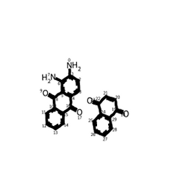 Nc1ccc2c(c1N)C(=O)c1ccccc1C2=O.O=C1C=CC(=O)c2ccccc21